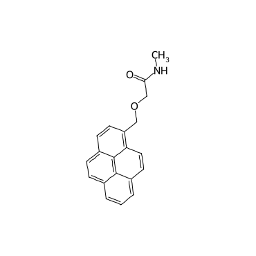 CNC(=O)COCc1ccc2ccc3cccc4ccc1c2c34